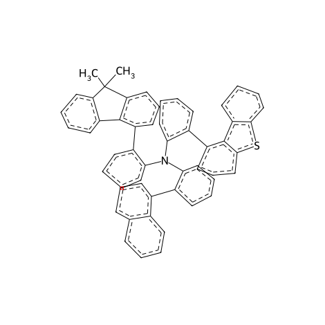 CC1(C)c2ccccc2-c2c(-c3ccccc3N(c3ccccc3-c3cccc4ccccc34)c3ccccc3-c3cccc4sc5ccccc5c34)cccc21